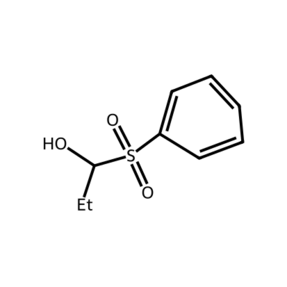 CCC(O)S(=O)(=O)c1ccccc1